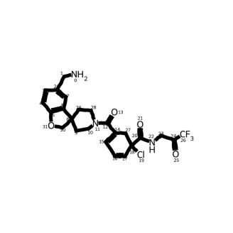 NCc1ccc2c(c1)C1(CCN(C(=O)C3=CC=CC(Cl)(C(=O)NCC(=O)C(F)(F)F)C3)CC1)CO2